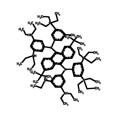 CC[SiH2]c1cc(N(c2cc([Si](CC)(CC)CC)cc([Si](CC)(CC)CC)c2)c2c3ccc(C(C)(C)C)cc3c(N(c3cc([SiH](CC)CC)cc([SiH](CC)CC)c3)c3cc(C)cc([Si](CC)(CC)CC)c3)c3ccc(C(C)(C)C)cc23)cc([SiH](CC)CC)c1